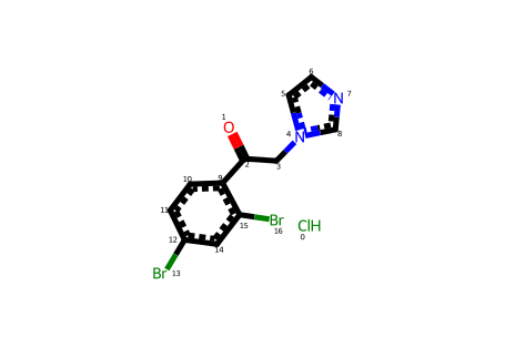 Cl.O=C(Cn1ccnc1)c1ccc(Br)cc1Br